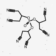 N#CCC(CC#N)OP(=O)(OC(CC#N)CC#N)OC(CC#N)CC#N